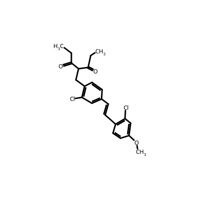 CCC(=O)C(Cc1ccc(C=Cc2ccc(OC)cc2Cl)cc1Cl)C(=O)CC